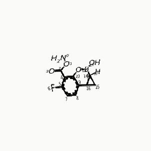 NOC(=O)c1c(F)ccc2c1OB(O)[C@@H]1CC21